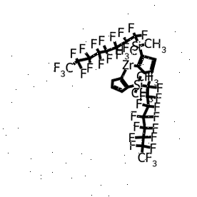 C[Si](C)(C1=[C]([Zr][C]2=C([Si](C)(C)C(F)(F)C(F)(F)C(F)(F)C(F)(F)C(F)(F)C(F)(F)C(F)(F)C(F)(F)F)C=CC2)CC=C1)C(F)(F)C(F)(F)C(F)(F)C(F)(F)C(F)(F)C(F)(F)C(F)(F)C(F)(F)F